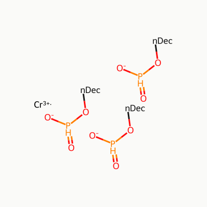 CCCCCCCCCCO[PH](=O)[O-].CCCCCCCCCCO[PH](=O)[O-].CCCCCCCCCCO[PH](=O)[O-].[Cr+3]